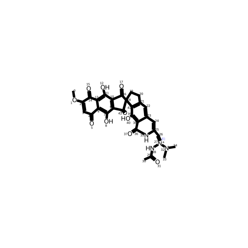 COC1=CC(=O)c2c(O)c3c(c(O)c2C1=O)C(=O)C1(CCc2cc4cc(/C=[N+](\NC(C)=O)N(C)C)[nH]c(=O)c4c(O)c21)C3=O